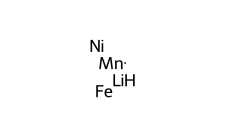 [Fe].[LiH].[Mn].[Ni]